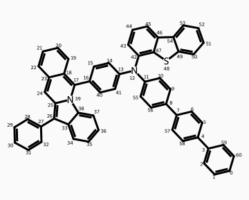 c1ccc(-c2ccc(-c3ccc(N(c4ccc(-c5c6ccccc6cc6c(-c7ccccc7)c7ccccc7n56)cc4)c4cccc5c4sc4ccccc45)cc3)cc2)cc1